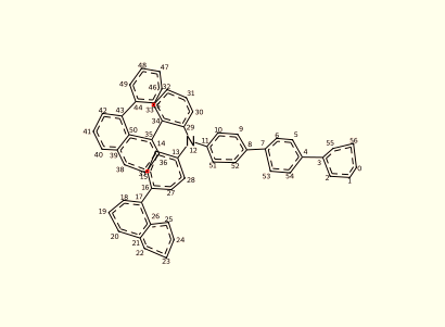 c1ccc(-c2ccc(-c3ccc(N(c4ccc(-c5cccc6ccccc56)cc4)c4ccccc4-c4cccc5cccc(-c6ccccc6)c45)cc3)cc2)cc1